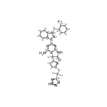 CC(C)(Cc1csc(C2(C)C(=O)Nc3nc(-c4nn(Cc5ccccc5F)c5ccccc45)nc(N)c32)n1)c1nn[nH]n1